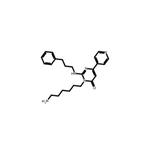 NCCCCCCn1c(NCCCc2ccccc2)nc(-c2ccncc2)cc1=O